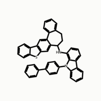 c1ccc(-c2ccc(-n3c4ccccc4c4cccc(NC5CCc6ccccc6-c6cc7c(cc65)sc5ccccc57)c43)cc2)cc1